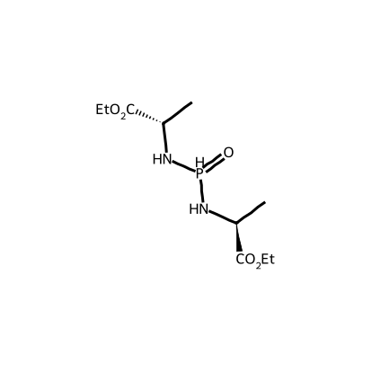 CCOC(=O)[C@H](C)N[PH](=O)N[C@@H](C)C(=O)OCC